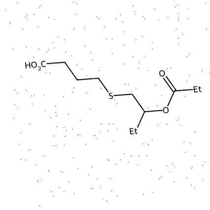 CCC(=O)OC(CC)CSCCCC(=O)O